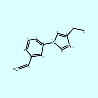 CCc1cn(-c2cccc(C=O)c2)cn1